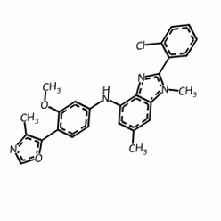 COc1cc(Nc2cc(C)cc3c2nc(-c2ccccc2Cl)n3C)ccc1-c1ocnc1C